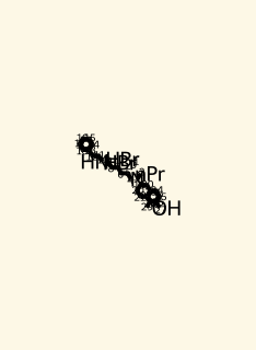 Br.Br.CCCN(CCCCCCNCCc1ccccc1)[C@H]1CCc2c(ccc(O)c2C)C1